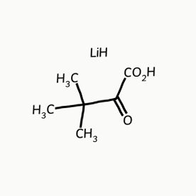 CC(C)(C)C(=O)C(=O)O.[LiH]